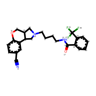 N#Cc1ccc2c(c1)C1CN(CCCCNC(=O)c3ccccc3C(F)(F)F)CC1CO2